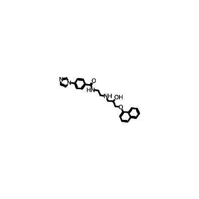 O=C(NCCNCC(O)COc1cccc2ccccc12)c1ccc(-n2ccnc2)cc1